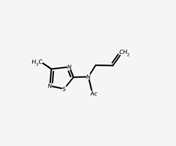 C=CCN(C(C)=O)c1nc(C)ns1